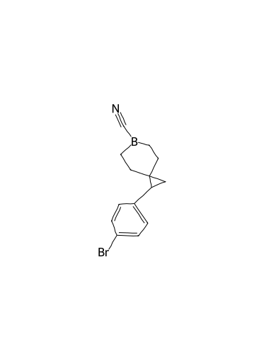 N#CB1CCC2(CC1)CC2c1ccc(Br)cc1